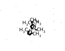 CCn1nc(C(C)(C)C)cc1-n1c(C)ccc1C